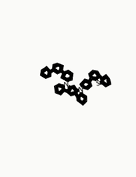 c1ccc(-c2cccc(-c3cccc(-n4c5ccccc5c5cc6c7ccccc7n(-c7ccc(-c8cccc9c8sc8ccccc89)cc7)c6cc54)c3)c2)cc1